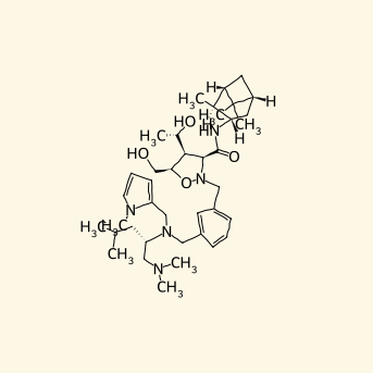 CC(C)C[C@@H](CN(C)C)N(Cc1cccc(CN2O[C@@H](CO)[C@@H]([C@H](C)O)[C@H]2C(=O)N[C@H]2C[C@H]3C[C@@H]([C@@H]2C)C3(C)C)c1)Cc1cccn1C